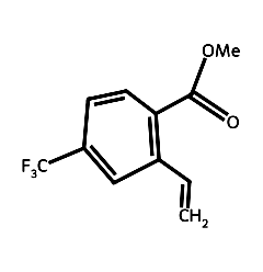 C=Cc1cc(C(F)(F)F)ccc1C(=O)OC